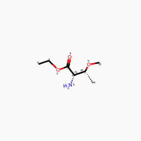 CCOC(=O)[C@@H](N)[C@@H](C)OC